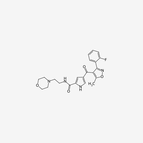 Cc1onc(-c2ccccc2F)c1C(=O)c1c[nH]c(C(=O)NCCN2CCOCC2)c1